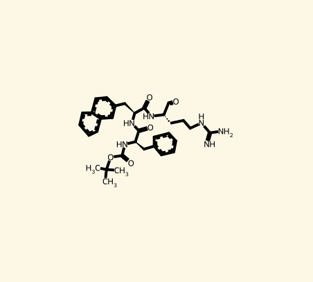 CC(C)(C)OC(=O)N[C@H](Cc1ccccc1)C(=O)N[C@@H](Cc1ccc2ccccc2c1)C(=O)N[C@H](C=O)CCCNC(=N)N